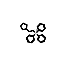 c1ccc([PH](CCC2CCCC2)(c2ccccc2)c2ccccc2)cc1